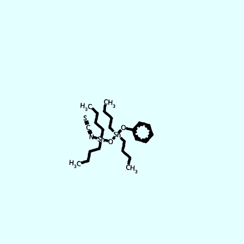 CCC[CH2][Sn]([CH2]CCC)([N]=C=S)[O][Sn]([CH2]CCC)([CH2]CCC)[O]c1ccccc1